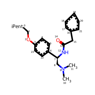 CCCC(C)COc1ccc([C@H](CN(C)C)NC(=O)Cc2ccccc2)cc1